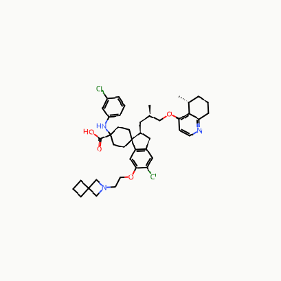 C[C@@H](COc1ccnc2c1[C@H](C)CCC2)C[C@H]1Cc2cc(Cl)c(OCCN3CC4(CCC4)C3)cc2C12CCC(Nc1cccc(Cl)c1)(C(=O)O)CC2